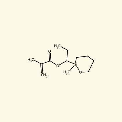 C=C(C)C(=O)OC(CC)[Si]1(C)CCCCO1